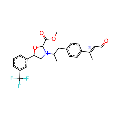 COC(=O)C1OC(c2cccc(C(F)(F)F)c2)CN1C(C)Cc1ccc(/C(C)=C/C=O)cc1